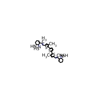 C/C(=C\c1cc(C)c(-c2ccc(-c3sc(/C=C(\C#N)C4=CCCC/C4=N\S)cc3C)s2)s1)C1=CCCC(=N)/C1=N\S